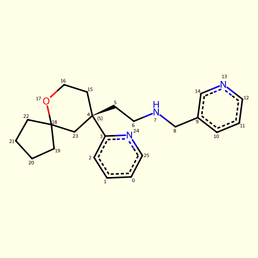 c1ccc([C@@]2(CCNCc3cccnc3)CCOC3(CCCC3)C2)nc1